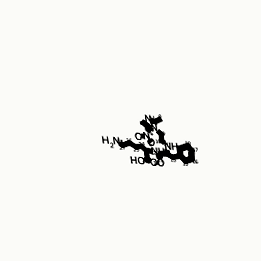 Cc1ncc([N+](=O)[O-])n1CCNC(Cc1ccccc1)C(=O)NC(CCCCN)C(=O)O